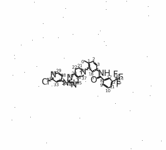 Cc1ccc(NC(=O)c2cccc(C(F)(F)F)c2)cc1N1CCc2nc(Nc3ccnc(Cl)c3)ncc2C1